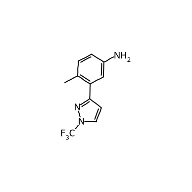 Cc1ccc(N)cc1-c1ccn(C(F)(F)F)n1